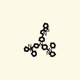 c1ccc(-n2c(-c3ccc(N(c4ccc(-c5ccc6c(n5)sc5ccccc56)cc4)c4ccc(-c5nc6ccccc6n5-c5ccccc5)cc4)cc3)nc3ccccc32)cc1